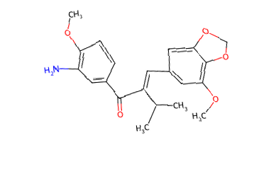 COc1ccc(C(=O)/C(=C/c2cc(OC)c3c(c2)OCO3)C(C)C)cc1N